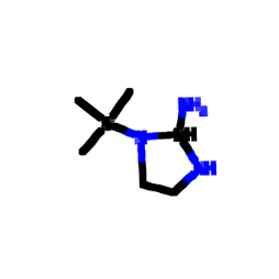 C[Si](C)(C)N1CCN[SiH]1N